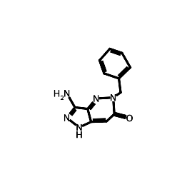 Nc1n[nH]c2cc(=O)n(Cc3ccccc3)nc12